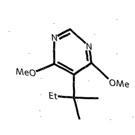 CCC(C)(C)c1c(OC)ncnc1OC